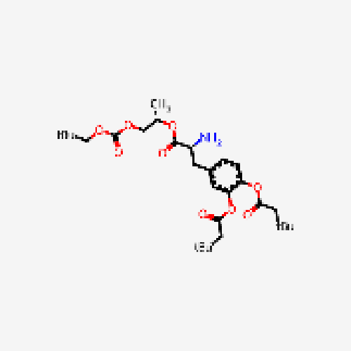 C[C@@H](COC(=O)OCC(C)(C)C)OC(=O)[C@@H](N)Cc1ccc(OC(=O)CC(C)(C)C)c(OC(=O)CC(C)(C)C)c1